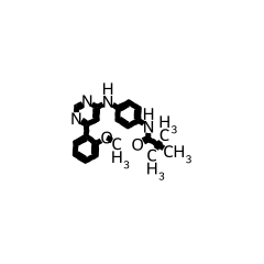 COc1ccccc1-c1cc(Nc2ccc(NC(=O)C(C)(C)C)cc2)ncn1